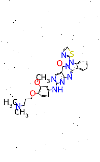 COc1cc(Nc2ncc3c(=O)n4c(nc3n2)c2ccccc2n4-c2nccs2)ccc1OCCCN(C)C